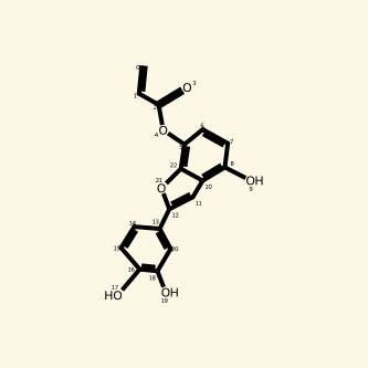 C=CC(=O)Oc1ccc(O)c2cc(-c3ccc(O)c(O)c3)oc12